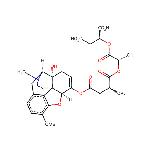 COc1ccc2c3c1O[C@@H]1C(OC(=O)C[C@H](OC(C)=O)C(=O)O[C@@H](C)C(=O)O[C@@H](CC(=O)O)C(=O)O)=CC[C@]4(O)[C@H](C2)N(C)CC[C@@]314